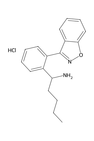 CCCCC(N)c1ccccc1-c1noc2ccccc12.Cl